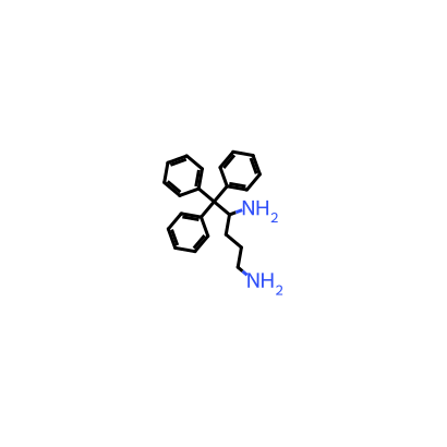 NCCCC(N)C(c1ccccc1)(c1ccccc1)c1ccccc1